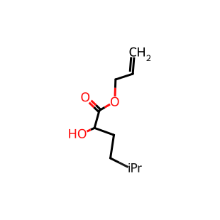 C=CCOC(=O)C(O)CCC(C)C